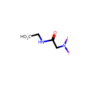 O=C(O)CNC(=O)CN(I)I